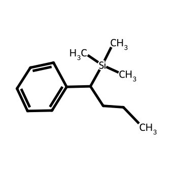 CCCC(c1ccccc1)[Si](C)(C)C